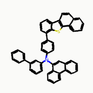 c1ccc(-c2cccc(N(c3ccc(-c4cccc5c4sc4c6ccccc6ccc54)cc3)c3cc4ccccc4c4ccccc34)c2)cc1